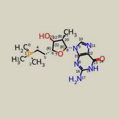 C=P(C)(C)CC[C@H]1O[C@@H](n2cnc3c(=O)[nH]c(N)nc32)[C@H](C)[C@@H]1O